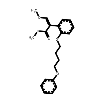 COC=C(C(=O)OC)c1ccccc1OCCCCOc1ccccc1